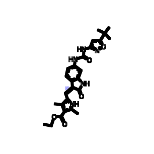 CCOC(=O)c1c(C)[nH]c(/C=C2\C(=O)Nc3cc(NC(=O)Nc4cc(C(C)(C)C)on4)ccc32)c1C